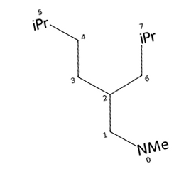 CNCC(CCC(C)C)CC(C)C